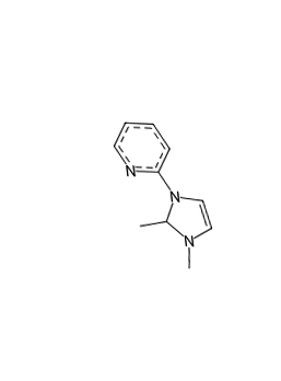 CC1N(C)C=CN1c1ccccn1